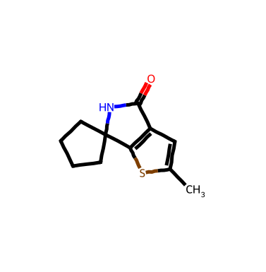 Cc1cc2c(s1)C1(CCCC1)NC2=O